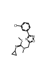 CS/C(=N/C1CC1)N(C)Cc1nc(-c2cccc(Cl)c2)no1